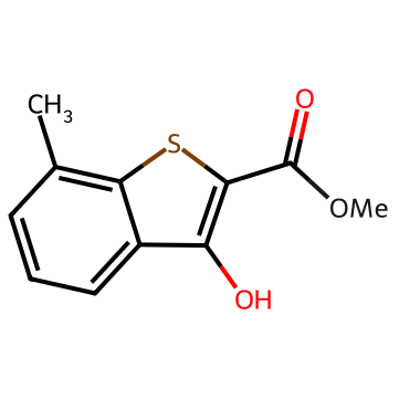 COC(=O)c1sc2c(C)cccc2c1O